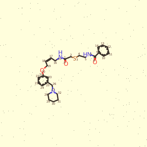 O=C(CSCCNC(=O)c1ccccc1)NC/C=C\COc1cccc(CN2CCCCC2)c1